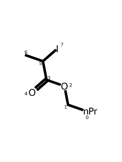 CCCCOC(=O)C(C)I